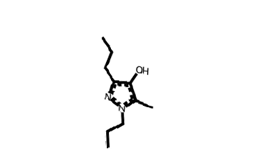 CCCc1nn(CCC)c(C)c1O